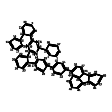 c1ccc(-c2nc(-c3ccccc3-c3ccccc3)nc(-c3ccccc3-c3ccc(-c4ccc(-c5ccc6c7c(cccc57)-c5ccccc5-6)cc4)cc3)n2)cc1